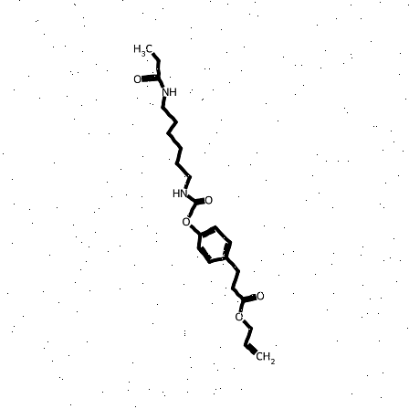 C=CCOC(=O)CCc1ccc(OC(=O)NCCCCCCNC(=O)CC)cc1